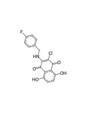 O=C1C(Cl)=C(NCc2ccc(F)cc2)C(=O)c2c(O)ccc(O)c21